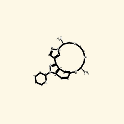 C[C@@H]1COCCOC[C@H](C)n2cc(cn2)-c2nn(C3CCCCO3)c3ccc(cc23)O1